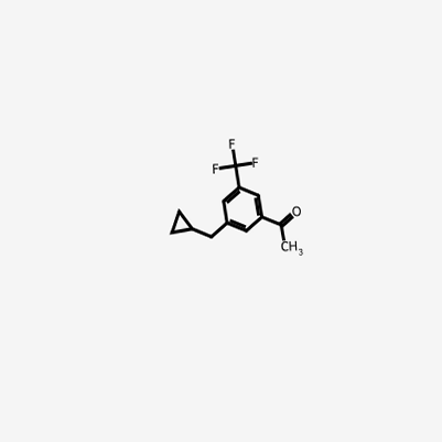 CC(=O)c1cc(CC2CC2)cc(C(F)(F)F)c1